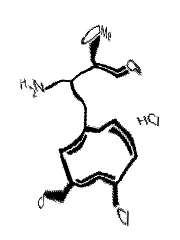 COC(=O)C(N)c1ccc(Cl)c(Cl)c1.Cl